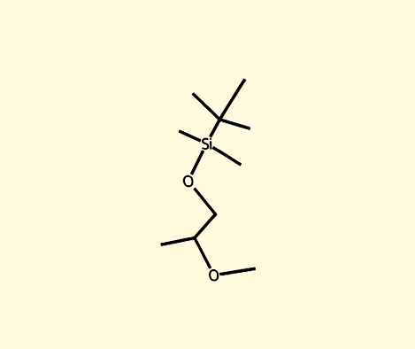 COC(C)CO[Si](C)(C)C(C)(C)C